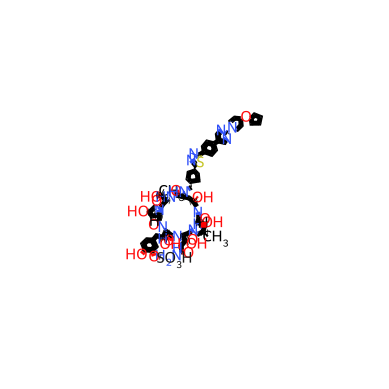 C[C@@H](O)[C@@H]1NC(=O)[C@@H](NC[C@H]2CC[C@H](c3nnc(-c4ccc(-c5cnc(N6CCC(OC7CCCC7)CC6)nc5)cc4)s3)CC2)C[C@@H](O)CNC(=O)[C@@H]2[C@@H](O)[C@@H](C)CN2C(=O)[C@H]([C@H](O)CC(N)=O)NC(=O)[C@H]([C@H](O)Cc2ccc(O)c(OS(=O)(=O)O)c2)NC(=O)[C@@H]2C[C@@H](O)CN2C1=O